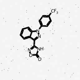 O=c1[nH]c(-c2nn(-c3ccc(C(F)(F)F)cc3)c3ccccc23)no1